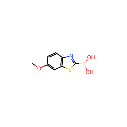 COc1ccc2nc(B(O)O)sc2c1